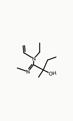 C=CN(CC)/C(=N\C)C(C)(O)CC